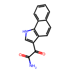 NC(=O)C(=O)c1c[nH]c2c1ccc1ccccc12